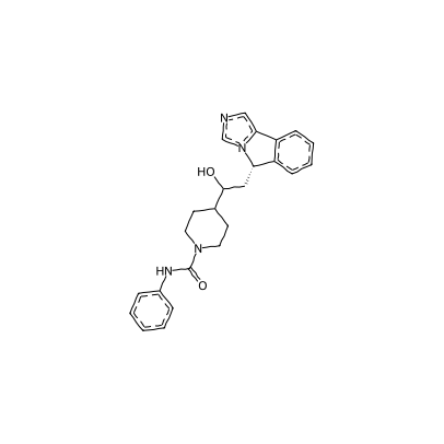 O=C(Nc1ccccc1)N1CCC(C(O)C[C@H]2c3ccccc3-c3cncn32)CC1